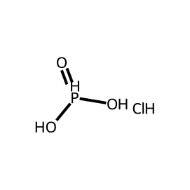 Cl.O=[PH](O)O